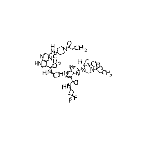 C=CC(=O)N1CCC(C)(Nc2cnc3[nH]cc(C(=O)NC4CCC4)c3n2)CC1.C=CC(=O)N1CCN(c2cnc3[nH]cc(C(=O)NC4CC(F)(F)C4)c3n2)CC1(C)C